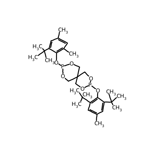 Cc1cc(C)c(OP2OCC3(CO2)COP(Oc2c(C(C)(C)C)cc(C)cc2C(C)(C)C)OC3)c(C(C)(C)C)c1